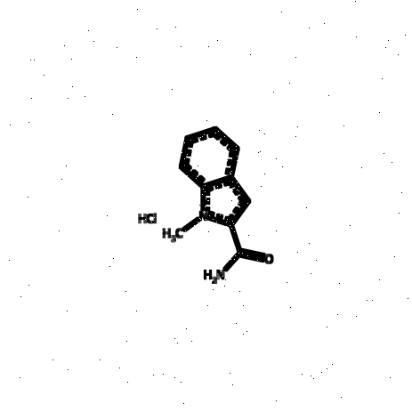 Cl.Cn1c(C(N)=O)cc2ccccc21